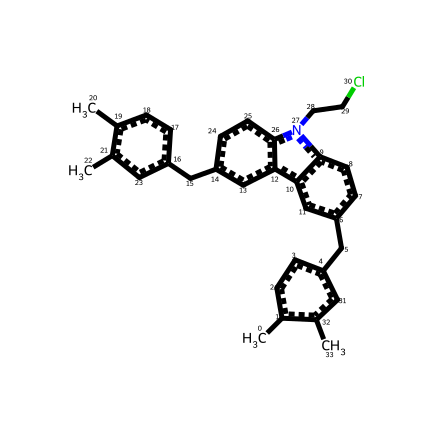 Cc1ccc(Cc2ccc3c(c2)c2cc(Cc4ccc(C)c(C)c4)ccc2n3CCCl)cc1C